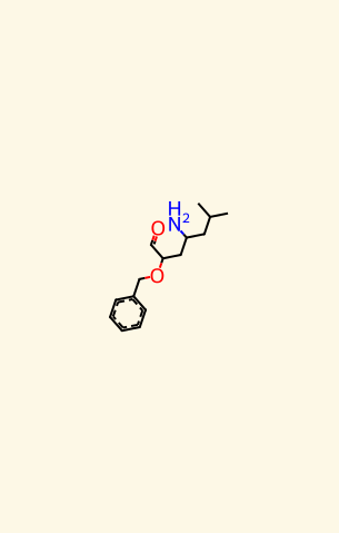 CC(C)CC(N)CC(C=O)OCc1ccccc1